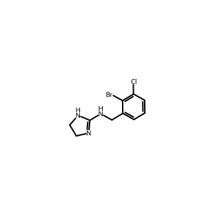 Clc1cccc(CNC2=NCCN2)c1Br